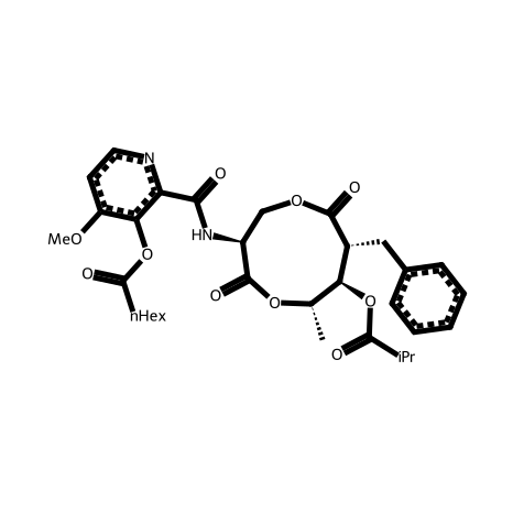 CCCCCCC(=O)Oc1c(OC)ccnc1C(=O)N[C@H]1COC(=O)[C@H](Cc2ccccc2)[C@@H](OC(=O)C(C)C)[C@H](C)OC1=O